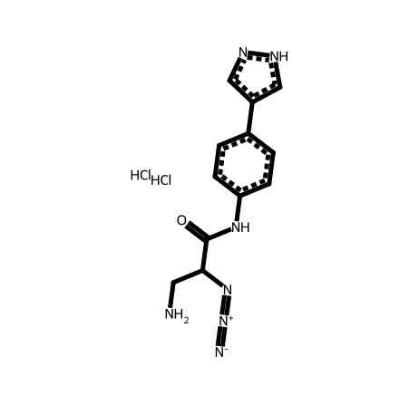 Cl.Cl.[N-]=[N+]=NC(CN)C(=O)Nc1ccc(-c2cn[nH]c2)cc1